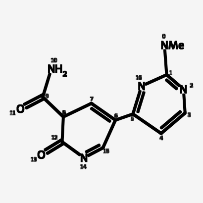 CNc1nccc(C2=CC(C(N)=O)C(=O)N=C2)n1